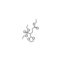 CCOC(=O)CCC(C1OCCO1)P(=O)(OCC)OCC